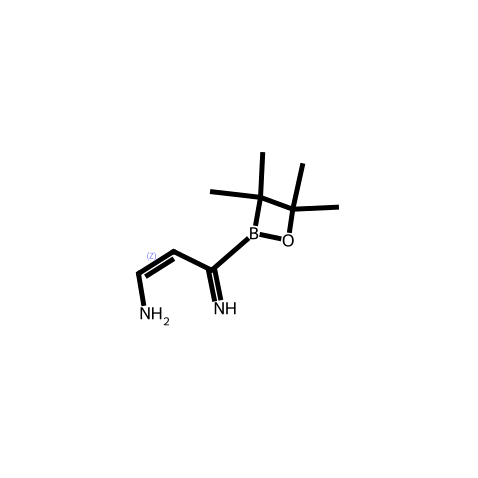 CC1(C)OB(C(=N)/C=C\N)C1(C)C